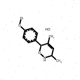 CCOc1ccc(C2ONC(C)C=C2C)cc1.Cl